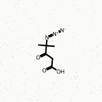 CC(C)(N=[N+]=[N-])C(=O)CC(=O)O